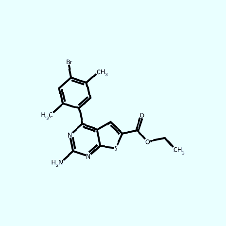 CCOC(=O)c1cc2c(-c3cc(C)c(Br)cc3C)nc(N)nc2s1